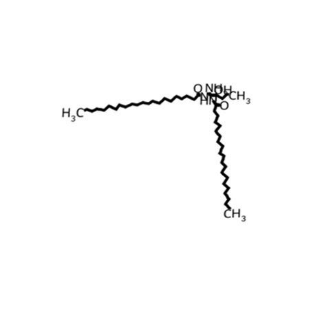 CCCCCCCCCCCCCCCCCCCCCC(=O)NC(N)C(O)(CCC)NC(=O)CCCCCCCCCCCCCCCCCCCCC